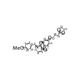 COc1ccc(CN2CC=C[N+]([O-])(c3ccc(OCCCC4OCCO4)cc3)C2=O)cc1